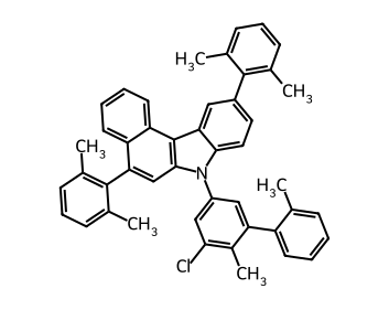 Cc1ccccc1-c1cc(-n2c3ccc(-c4c(C)cccc4C)cc3c3c4ccccc4c(-c4c(C)cccc4C)cc32)cc(Cl)c1C